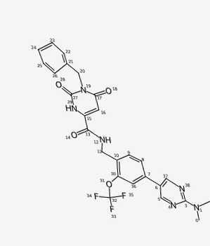 CN(C)c1ncc(-c2ccc(CNC(=O)c3cc(=O)n(Cc4ccccc4)c(=O)[nH]3)c(OC(F)(F)F)c2)cn1